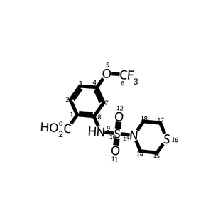 O=C(O)c1ccc(OC(F)(F)F)cc1NS(=O)(=O)N1CCSCC1